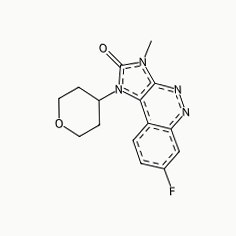 Cn1c(=O)n(C2CCOCC2)c2c3ccc(F)cc3nnc21